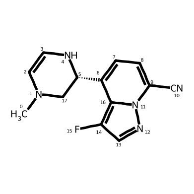 CN1C=CN[C@H](c2ccc(C#N)n3ncc(F)c23)C1